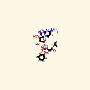 CC(C)OC(=O)[C@H](C)N[P@](=O)(OC[C@H]1O[C@@](C#N)(n2ccc(N)nc2=O)[C@H](O)[C@@H]1O)Oc1ccccc1